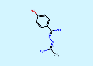 C/C(N)=N/N=C(\N)c1ccc(O)cc1